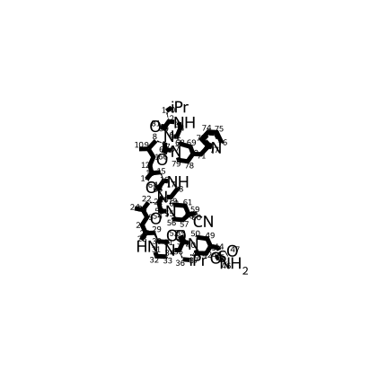 CC(C)C[C@@H]1NCCN([C@@H](CC(C)CCC(C)C[C@@H]2NCCN([C@@H](CC(C)CCC(C)C[C@@H]3NCCN([C@@H](CC(C)C)C(=O)N4CCC(CS(N)(=O)=O)CC4)C3=O)C(=O)N3CCC(CC#N)CC3)C2=O)C(=O)N2CCC(Cc3ccccn3)CC2)C1=O